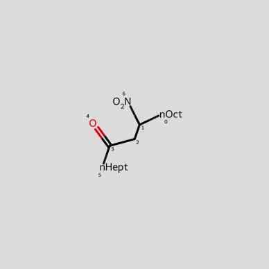 CCCCCCCCC(CC(=O)CCCCCCC)[N+](=O)[O-]